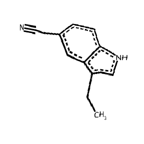 CCc1c[nH]c2ccc(C#N)cc12